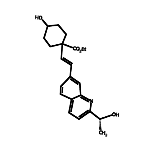 CCOC(=O)C1(/C=C/c2ccc3ccc([C@@H](C)O)nc3c2)CCC(O)CC1